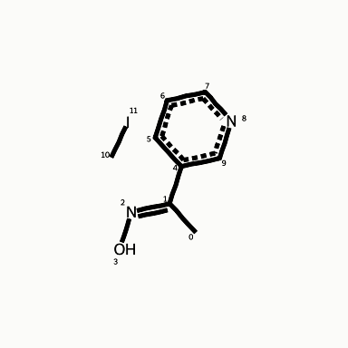 C/C(=N\O)c1cccnc1.CI